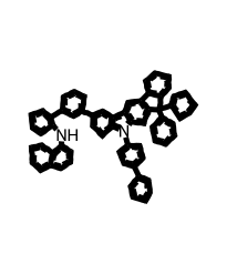 c1ccc(-c2ccc(-n3c4ccc(-c5cccc(-c6ccccc6Nc6cccc7ccccc67)c5)cc4c4cc5c(cc43)C(c3ccccc3)(c3ccccc3)c3ccccc3-5)cc2)cc1